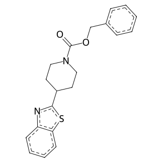 O=C(OCc1ccccc1)N1CCC(c2nc3ccccc3s2)CC1